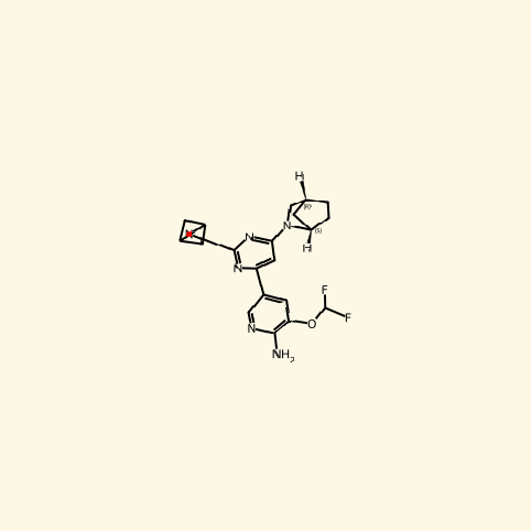 Nc1ncc(-c2cc(N3C[C@@H]4CC[C@H]3C4)nc(N3CC4CC3C4)n2)cc1OC(F)F